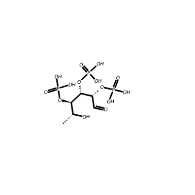 C[C@@H](O)[C@@H](OP(=O)(O)O)[C@H](OP(=O)(O)O)[C@@H](C=O)OP(=O)(O)O